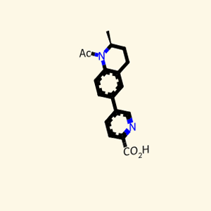 CC(=O)N1c2ccc(-c3ccc(C(=O)O)nc3)cc2CC[C@@H]1C